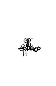 CCOC(=O)NN=Cc1cn(-c2ccc3c(c2)CCC3)nc1-c1ccc([N+](=O)[O-])o1